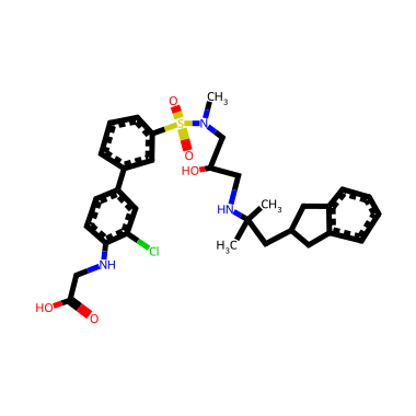 CN(CC(O)CNC(C)(C)CC1Cc2ccccc2C1)S(=O)(=O)c1cccc(-c2ccc(NCC(=O)O)c(Cl)c2)c1